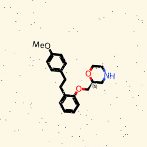 COc1ccc(CCc2ccccc2OC[C@@H]2CNCCO2)cc1